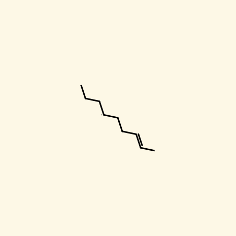 CC=CCC[CH]CCC